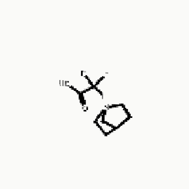 C1CN2CCC1C2.O=C(O)C(F)(F)F